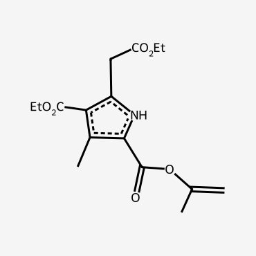 C=C(C)OC(=O)c1[nH]c(CC(=O)OCC)c(C(=O)OCC)c1C